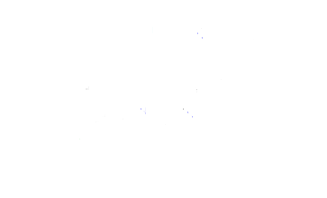 Cc1sc(Nc2cc(F)nc(F)c2)nc1C(=O)Cl